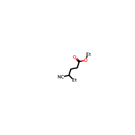 CCOC(=O)CCC(C#N)CC